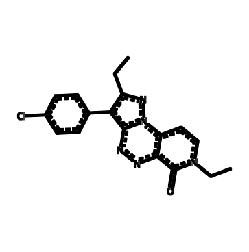 CCc1nn2c(nnc3c(=O)n(CC)ccc32)c1-c1ccc(Cl)cc1